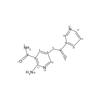 NC(=O)c1cc(CC(=O)c2cccnc2)cnc1N